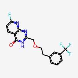 O=c1[nH]c(COCCc2cccc(C(F)(F)F)c2)nc2nc(F)ccc12